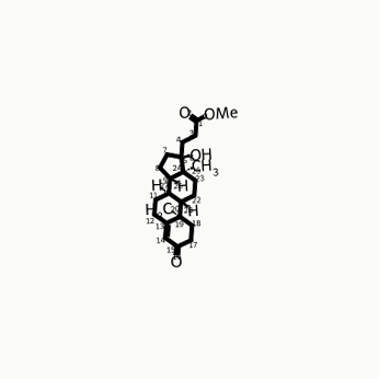 COC(=O)CC[C@@]1(O)CC[C@H]2[C@@H]3CCC4=CC(=O)CC[C@]4(C)[C@H]3CC[C@@]21C